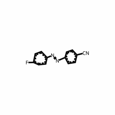 N#Cc1ccc(N=Nc2ccc(F)cc2)cc1